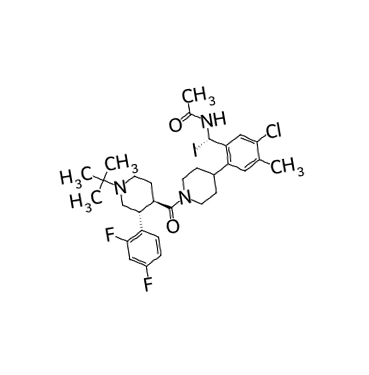 CC(=O)N[C@@H](I)c1cc(Cl)c(C)cc1C1CCN(C(=O)[C@@H]2CCN(C(C)(C)C)C[C@H]2c2ccc(F)cc2F)CC1